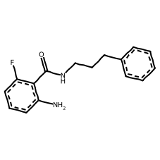 Nc1cccc(F)c1C(=O)NCCCc1ccccc1